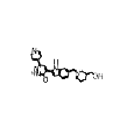 O=c1[nH]nc(-c2ccncc2)cc1-c1cc2ccc(CN3CCCC(CO)C3)cc2[nH]1